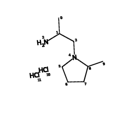 CC(N)CN1CCCC1C.Cl.Cl